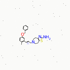 Cc1ccc(OCc2ccccc2)cc1/C=C/CN1CCc2nc(N)sc2CC1